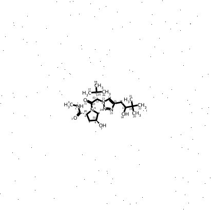 CNC(=O)[C@H]1C[C@H](O)CN1C(=O)[C@@H](n1cc(CC(O)C(C)(C)C)nn1)C(C)(C)C